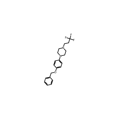 FC(F)(F)CCN1CCN(c2ccc(OCc3ccccc3)cc2)CC1